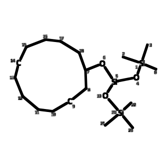 C[Si](C)(C)O[Si](OC1CCCCCCCCCCC1)O[Si](C)(C)C